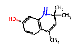 CC1=CC(C)(C)Nc2cc(O)ccc21